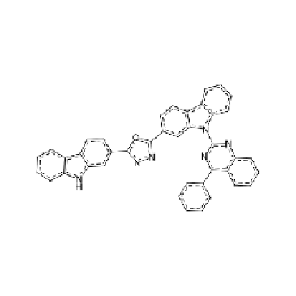 c1ccc(-c2nc(-n3c4ccccc4c4ccc(-c5nnc(-c6ccc7c(c6)[nH]c6ccccc67)o5)cc43)nc3ccccc23)cc1